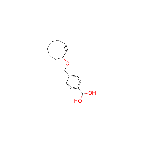 OC(O)c1ccc(COC2C#CCCCCC2)cc1